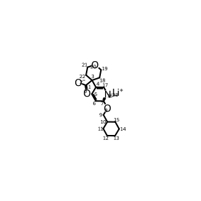 O=C([O-])C1(c2ccc(OCC3CCCCC3)nc2)CCOCC1.[Li+]